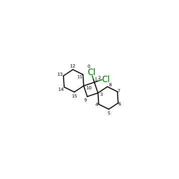 ClC1(Cl)C2(CCCCC2)CC12CCCCC2